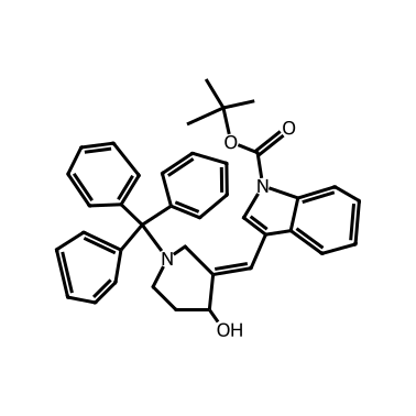 CC(C)(C)OC(=O)n1cc(C=C2CN(C(c3ccccc3)(c3ccccc3)c3ccccc3)CCC2O)c2ccccc21